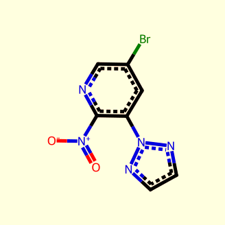 O=[N+]([O-])c1ncc(Br)cc1-n1nccn1